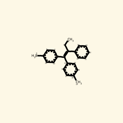 Bc1ccc(/C(=C(\CC)c2ccccc2)c2ccc(C)cc2)cc1